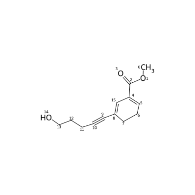 COC(=O)C1=CCCC(C#CCCCO)=C1